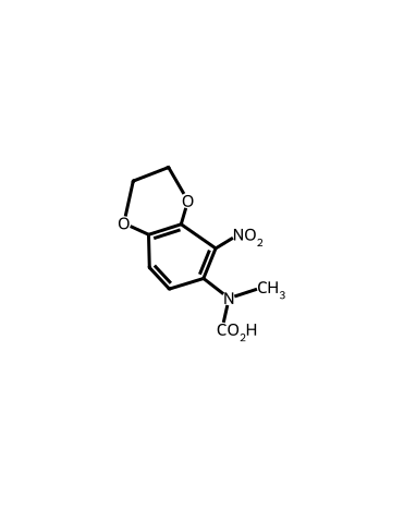 CN(C(=O)O)c1ccc2c(c1[N+](=O)[O-])OCCO2